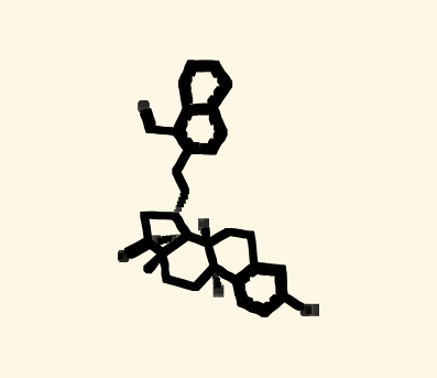 C[C@]12CC[C@@H]3c4ccc(O)cc4CC[C@H]3[C@@H]1[C@@H](CCc1ccc3ccccc3c1C=O)CC2=O